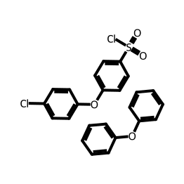 O=S(=O)(Cl)c1ccc(Oc2ccc(Cl)cc2)cc1.c1ccc(Oc2ccccc2)cc1